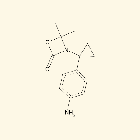 CC1(C)OC(=O)N1C1(c2ccc(N)cc2)CC1